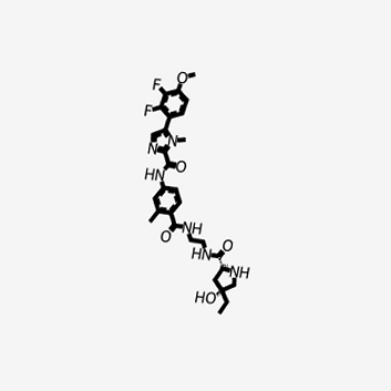 CC[C@]1(O)CN[C@@H](C(=O)NCCNC(=O)c2ccc(NC(=O)c3ncc(-c4ccc(OC)c(F)c4F)n3C)cc2C)C1